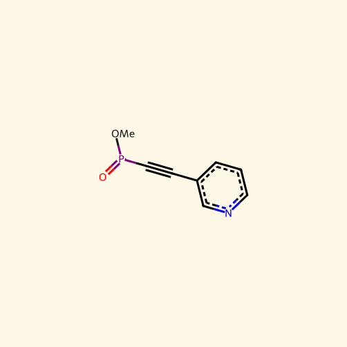 CO[P](=O)C#Cc1cccnc1